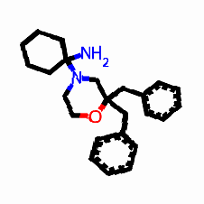 NC1(N2CCOC(Cc3ccccc3)(Cc3ccccc3)C2)CCCCC1